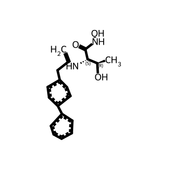 C=C(Cc1ccc(-c2ccccc2)cc1)N[C@H](C(=O)NO)[C@@H](C)O